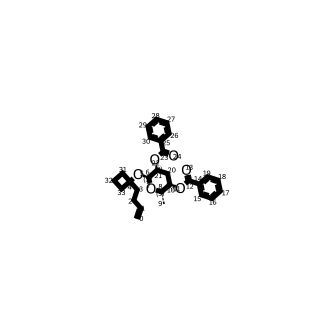 C=CCCC1(O[C@@H]2O[C@@H](C)[C@H](OC(=O)c3ccccc3)C[C@H]2OC(=O)c2ccccc2)CCC1